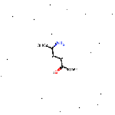 COC(=O)CCC(N)C=O